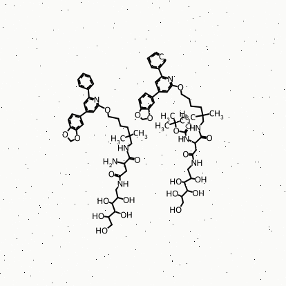 CC(C)(CCCCOc1cc(-c2ccc3c(c2)OCO3)cc(-c2ccccc2)n1)CNC(=O)C(CC(=O)NCC(O)C(O)C(O)C(O)CO)NC(=O)OC(C)(C)C.CC(C)(CCCCOc1cc(-c2ccc3c(c2)OCO3)cc(-c2ccccc2)n1)CNC(=O)C(N)CC(=O)NCC(O)C(O)C(O)C(O)CO